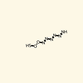 N=NN=NN=NOOS